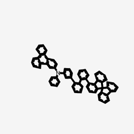 c1ccc(N(c2cccc(-c3ccccc3-c3ccccc3-c3cccc4c3-c3ccccc3C43c4ccccc4-c4ccccc43)c2)c2ccc3c4ccccc4c4ccccc4c3c2)cc1